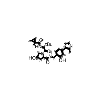 Cc1ncsc1-c1ccc(CNC(=O)C2CC(O)CN2C(=O)[C@@H](NC(=O)C2(F)CC2)C(C)(C)C)c(O)c1